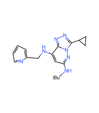 CCC(C)Nc1cc(NCc2ccccn2)c2nnc(C3CC3)n2n1